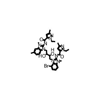 CCn1nc(C)cc1C(=O)/N=c1\n(C)c2cc(C)ccc2n1CC(O)C(O)Cn1/c(=N/C(=O)c2cc(C)nn2CC)n(C)c2cccc(Br)c21